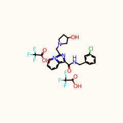 O=C(NCc1cccc(Cl)c1)c1nc(CN2CCC(O)C2)n2ccccc12.O=C(O)C(F)(F)F.O=C(O)C(F)(F)F